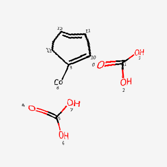 O=C(O)O.O=C(O)O.[Co][C]1=CC=CC1